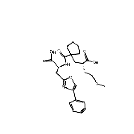 COCC[C@H](CC1(C(=O)N[C@@H](Cc2nc(-c3ccccc3)co2)C(=O)O)CCCC1)C(=O)O